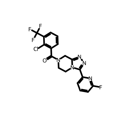 O=C(c1cccc(C(F)(F)F)c1Cl)N1CCn2c(nnc2-c2cccc(F)n2)C1